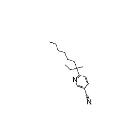 CCCCCCC(C)(CC)c1ccc(C#N)cn1